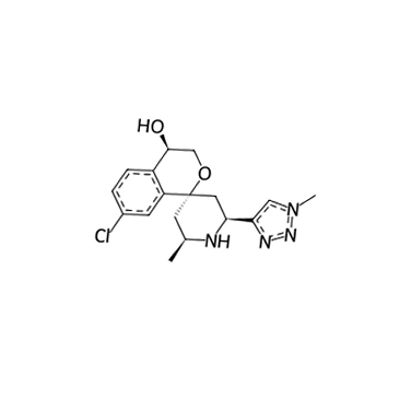 C[C@H]1C[C@@]2(C[C@@H](c3cn(C)nn3)N1)OC[C@H](O)c1ccc(Cl)cc12